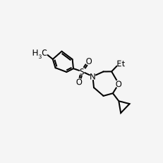 CCC1CN(S(=O)(=O)c2ccc(C)cc2)CCC(C2CC2)O1